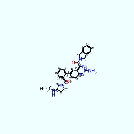 Nc1nc(C(=O)N2Cc3ccccc3C2)c2cc(-c3ccccc3C(=O)N3CCC(NC(=O)O)C3)ccc2n1